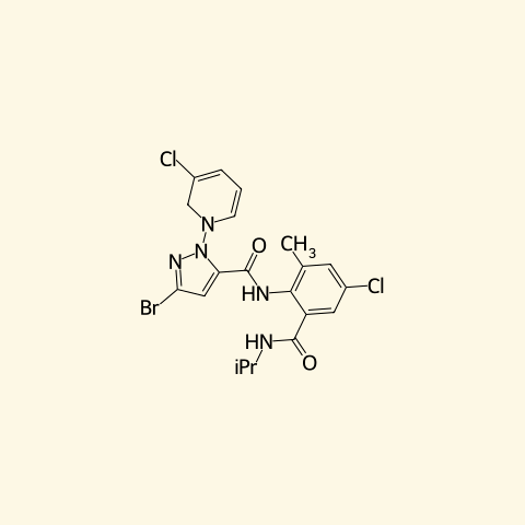 Cc1cc(Cl)cc(C(=O)NC(C)C)c1NC(=O)c1cc(Br)nn1N1C=CC=C(Cl)C1